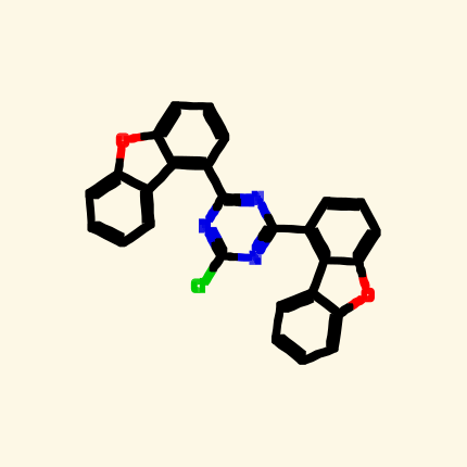 Clc1nc(-c2cccc3oc4ccccc4c23)nc(-c2cccc3oc4ccccc4c23)n1